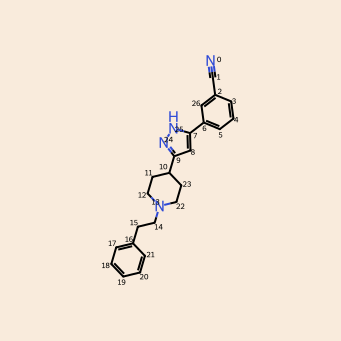 N#Cc1cccc(-c2cc(C3CCN(CCc4ccccc4)CC3)n[nH]2)c1